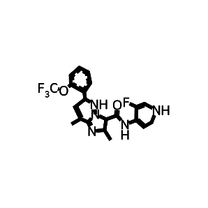 CC1=CC(c2ccccc2OC(F)(F)F)NN2C1=NC(C)C2C(=O)NC1=CCNC=C1F